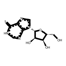 OC[C@H]1O[C@@H](p2cnc3c(=S)[nH]cnc32)[C@H](O)[C@@H]1O